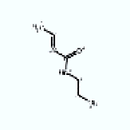 CC=NC(=O)NCCO